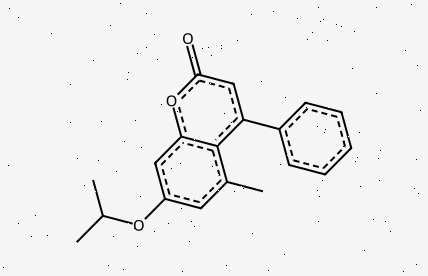 Cc1cc(OC(C)C)cc2oc(=O)cc(-c3ccccc3)c12